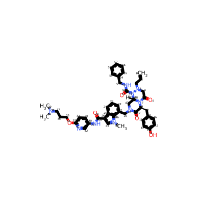 C=CCN1CC(=O)N2[C@@H](Cc3ccc(O)cc3)C(=O)N(Cc3cccc4c(C(=O)Nc5ccc(OCCCN(C)C)nc5)cn(C)c34)C[C@@H]2N1C(=O)NCc1ccccc1